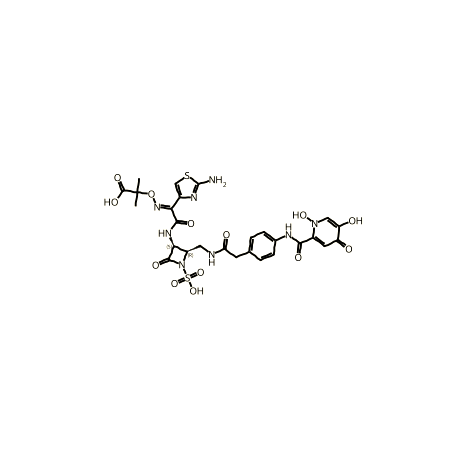 CC(C)(ON=C(C(=O)N[C@@H]1C(=O)N(S(=O)(=O)O)[C@@H]1CNC(=O)Cc1ccc(NC(=O)c2cc(=O)c(O)cn2O)cc1)c1csc(N)n1)C(=O)O